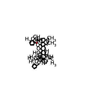 CCN[C@@H]1c2onc(OCc3ccccc3)c2C(=O)[C@@]2(O[Si](C)(C)C(C)(C)C)C(O)=C3C(=O)c4c(c(F)c5c(c4OCc4ccccc4)N(C(=O)OC(C)(C)C)CCC5N(C)C)C[C@H]3C[C@@H]12